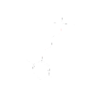 CCc1ccc(C=O)c(OCCO[Si](C)(C)C(C)(C)C)c1